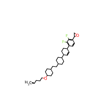 C=CCCCOC1CCC(CCC2CCC(C3C=CC(c4ccc(C5CO5)c(F)c4F)CC3)CC2)CC1